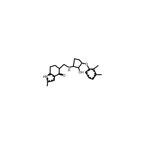 Cc1cc2c([nH]1)CCC(CNC1CCC(Oc3cccc(C)c3C)C1O)C2=O